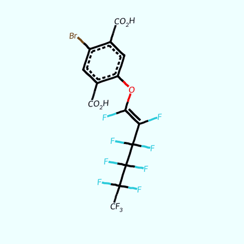 O=C(O)c1cc(OC(F)=C(F)C(F)(F)C(F)(F)C(F)(F)C(F)(F)F)c(C(=O)O)cc1Br